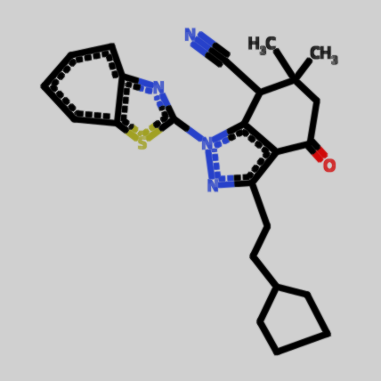 CC1(C)CC(=O)c2c(CCC3CCCC3)nn(-c3nc4ccccc4s3)c2C1C#N